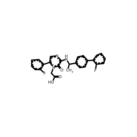 CC(Nc1ncc(-c2ccccc2F)n(CC(=O)O)c1=O)c1ccc(-c2ccccc2F)cc1